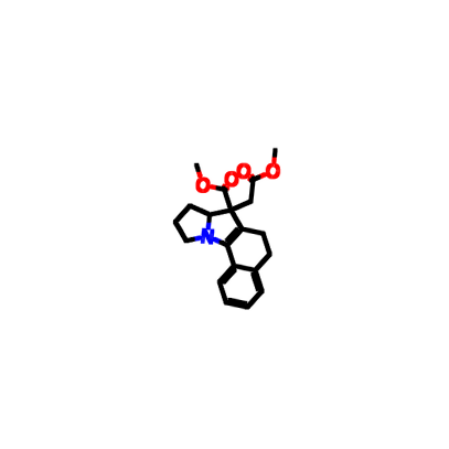 COC(=O)CC1(C(=O)OC)C2=C(c3ccccc3CC2)N2CCCC21